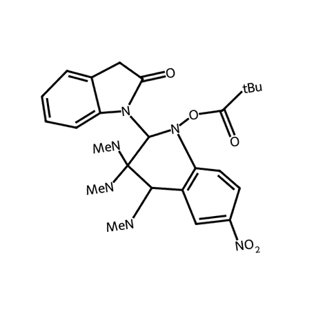 CNC1c2cc([N+](=O)[O-])ccc2N(OC(=O)C(C)(C)C)C(N2C(=O)Cc3ccccc32)C1(NC)NC